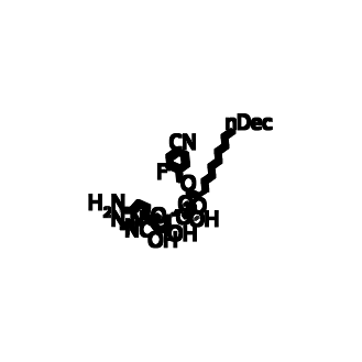 CCCCCCCCCCCCCCCCCCC[C@H](COCc1ccc(C#N)cc1F)OP(=O)(O)OC[C@H]1O[C@@](C#N)(c2ccc3c(N)ncnn23)[C@H](O)[C@@H]1O